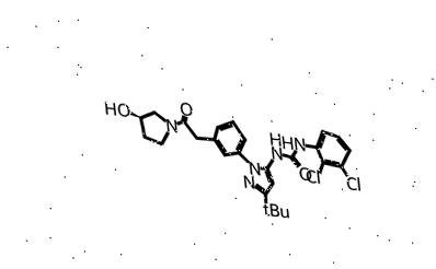 CC(C)(C)c1cc(NC(=O)Nc2cccc(Cl)c2Cl)n(-c2cccc(CC(=O)N3CC[C@@H](O)C3)c2)n1